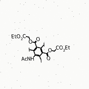 CCOC(=O)COC(=O)c1c(I)c(NC(C)=O)c(I)c(C(=O)OCC(=O)OCC)c1I